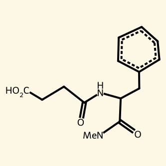 CNC(=O)C(Cc1ccccc1)NC(=O)CCC(=O)O